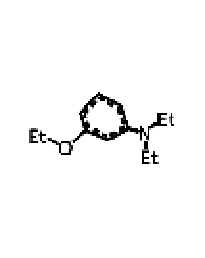 CCOc1cccc(N(CC)CC)c1